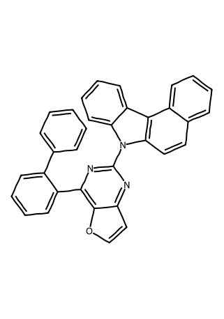 c1ccc(-c2ccccc2-c2nc(-n3c4ccccc4c4c5ccccc5ccc43)nc3ccoc23)cc1